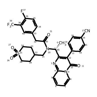 C[C@H](c1nc2ccccn2c(=O)c1-c1ccc(C#N)cc1)N(CC1CCS(=O)(=O)CC1)C(=O)Cc1ccc(F)c(C(F)(F)F)c1